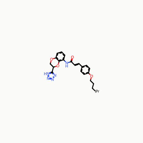 CC(C)CCCOc1ccc(/C=C/C(=O)Nc2cccc3c2OC(c2nnn[nH]2)CO3)cc1